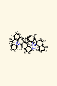 CC1(C)c2ccccc2N2c3cc4ccccc4c(-c4cccc5c4[nH]c4c6ccccc6ccc54)c3Bc3cccc1c32